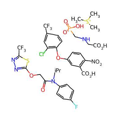 CC(C)N(C(=O)COc1nnc(C(F)(F)F)s1)c1ccc(F)cc1.C[S+](C)C.O=C(O)CNCP(=O)([O-])O.O=C(O)c1cc(Oc2ccc(C(F)(F)F)cc2Cl)ccc1[N+](=O)[O-]